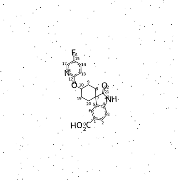 O=C(O)c1ccc2c(c1)C1(CCC(Oc3ccc(F)cn3)CC1)C(=O)N2